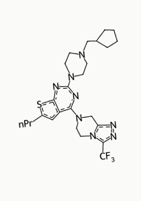 CCCc1cc2c(N3CCn4c(nnc4C(F)(F)F)C3)nc(N3CCN(CC4CCCC4)CC3)nc2s1